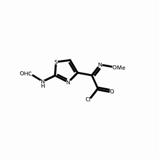 CON=C(C(=O)Cl)c1csc(NC=O)n1